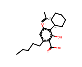 C=C(C)[C@@H]1CCCC[C@H]1c1c(O)cc(CCCCC)c(C(=O)O)c1O